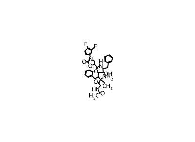 CCC(N)(C(=O)CNC(C)=O)C(Cc1ccccc1)C[C@H](O)C(Cc1ccccc1)NC(=O)C1CN(c2ccc(F)c(F)c2)C(=O)O1